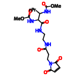 CCCC(NC(=O)OC)C(NC(=O)OC)C(=O)NCCNC(=O)CCN1C(=O)C=CC1=O